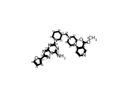 COC(=O)c1cnccc1N1CCN(C[C@@H]2CCCN(c3nc(N)n4nc(-c5ccco5)nc4n3)C2)CC1